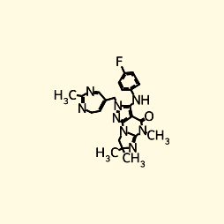 CC1=NCC=C(Cn2nc3c(c2Nc2ccc(F)cc2)C(=O)N(C)C2=NC(C)(C)CN23)C=N1